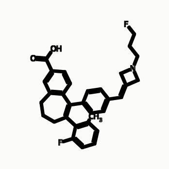 Cc1cccc(F)c1C1=C(c2ccc(C=C3CN(CCCF)C3)cc2)c2ccc(C(=O)O)cc2CCC1